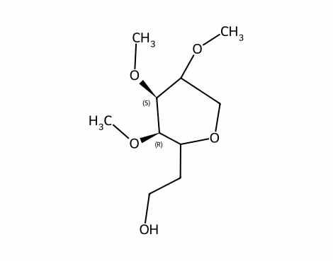 COC1COC(CCO)[C@@H](OC)[C@H]1OC